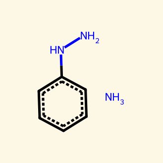 N.NNc1ccccc1